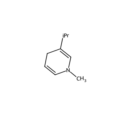 CC(C)C1=CN(C)C=CC1